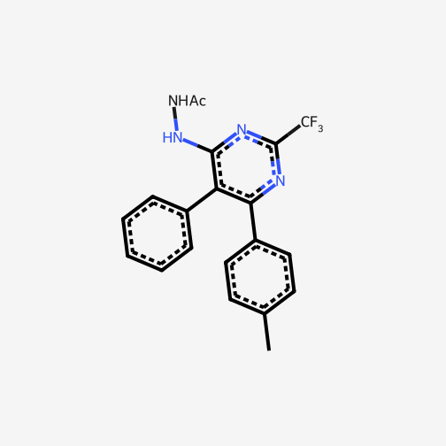 CC(=O)NNc1nc(C(F)(F)F)nc(-c2ccc(C)cc2)c1-c1ccccc1